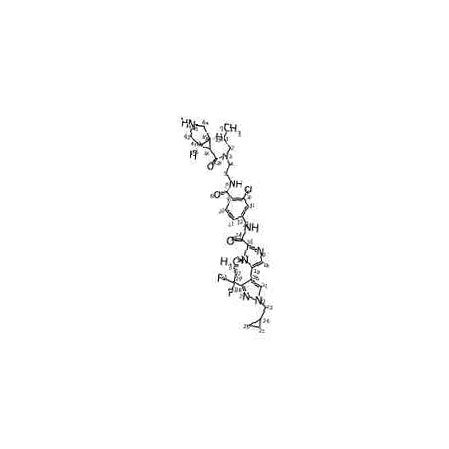 CCCN(CCNC(=O)c1ccc(NC(=O)c2ncc(-c3cn(CC4CC4)nc3C(F)(F)F)n2C)cc1Cl)C(=O)C1[C@H]2CNC[C@@H]12